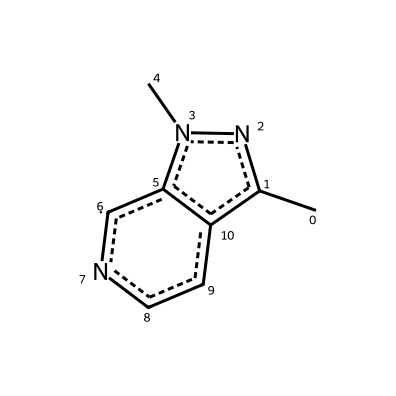 Cc1nn(C)c2[c]nccc12